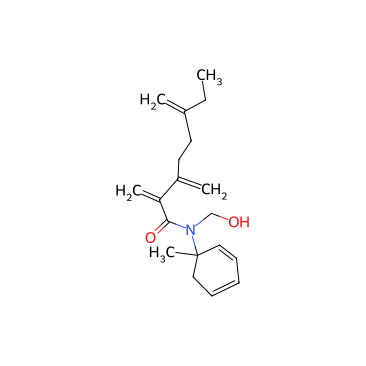 C=C(CC)CCC(=C)C(=C)C(=O)N(CO)C1(C)C=CC=CC1